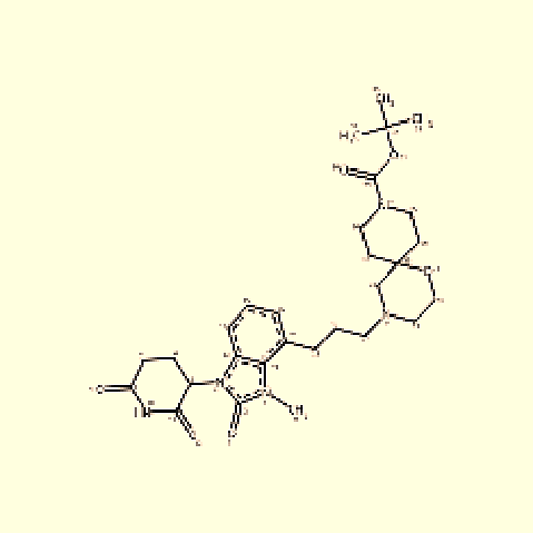 Cn1c(=O)n(C2CCC(=O)NC2=O)c2cccc(CCCN3CCOC4(CCN(C(=O)OC(C)(C)C)CC4)C3)c21